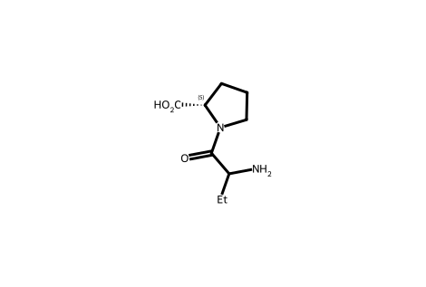 CCC(N)C(=O)N1CCC[C@H]1C(=O)O